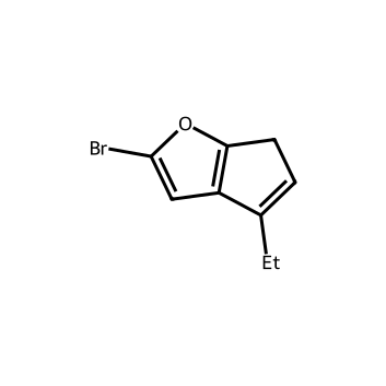 CCC1=CCc2oc(Br)cc21